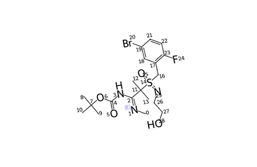 C/N=C(/NC(=O)OC(C)(C)C)C(C)(C)S(=O)(Cc1cc(Br)ccc1F)=NCCO